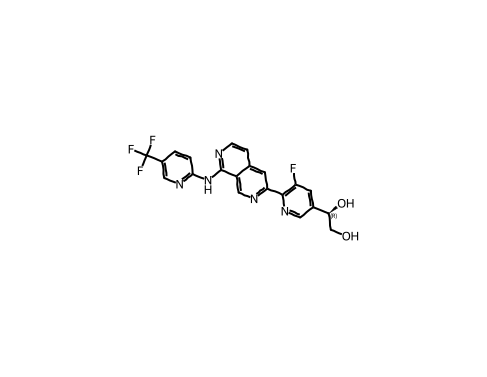 OC[C@H](O)c1cnc(-c2cc3ccnc(Nc4ccc(C(F)(F)F)cn4)c3cn2)c(F)c1